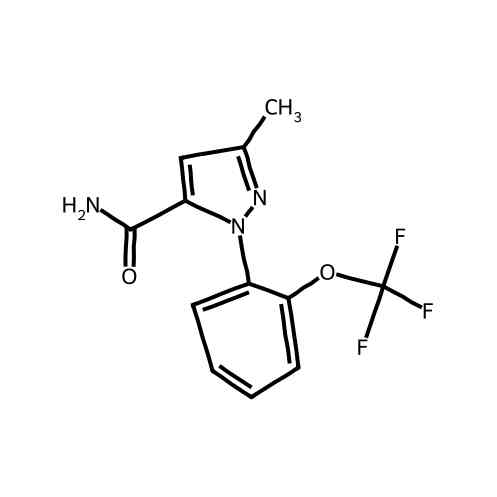 Cc1cc(C(N)=O)n(-c2ccccc2OC(F)(F)F)n1